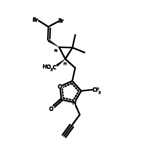 C#CCn1c(C(F)(F)F)c(C[C@@]2(C(=O)O)[C@H](C=C(Br)Br)C2(C)C)oc1=O